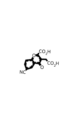 N#Cc1ccc2oc(C(=O)O)c(CC(=O)O)c(=O)c2c1